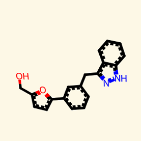 OCc1ccc(-c2cccc(Cc3n[nH]c4ccccc34)c2)o1